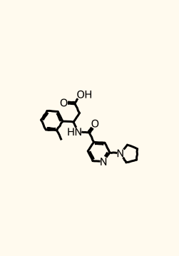 Cc1ccccc1C(CC(=O)O)NC(=O)c1ccnc(N2CCCC2)c1